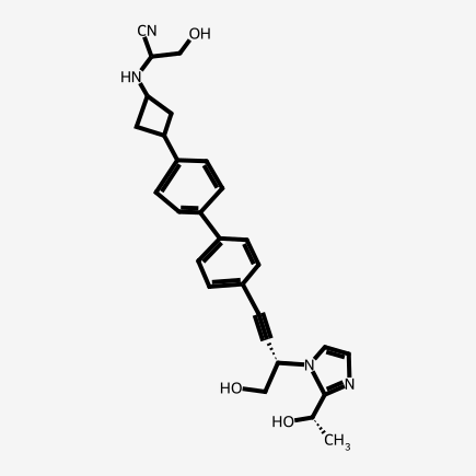 C[C@H](O)c1nccn1[C@@H](C#Cc1ccc(-c2ccc(C3CC(NC(C#N)CO)C3)cc2)cc1)CO